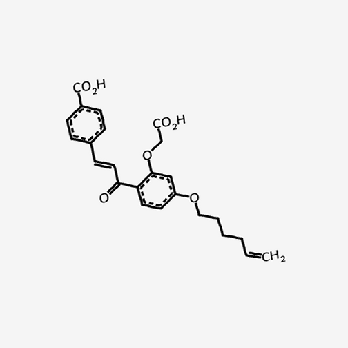 C=CCCCCOc1ccc(C(=O)C=Cc2ccc(C(=O)O)cc2)c(OCC(=O)O)c1